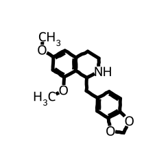 COc1cc2c(c(OC)c1)C(Cc1ccc3c(c1)OCO3)NCC2